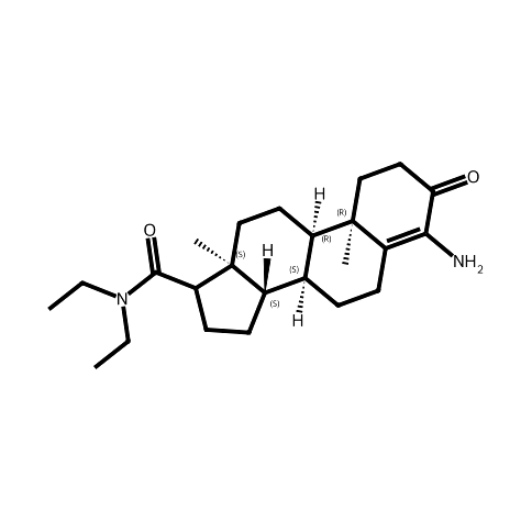 CCN(CC)C(=O)C1CC[C@H]2[C@@H]3CCC4=C(N)C(=O)CC[C@]4(C)[C@@H]3CC[C@]12C